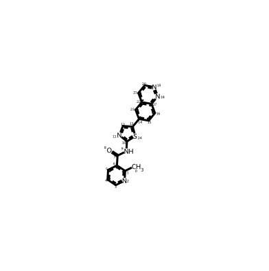 Cc1ncccc1C(=O)Nc1ncc(-c2ccc3nnccc3c2)s1